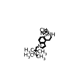 CN=S1(=O)NCCc2c1ccc1c2ccn1CC(C)(C)N(C)C